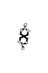 ClP1OCC2(CO1)COP(Cl)OC2